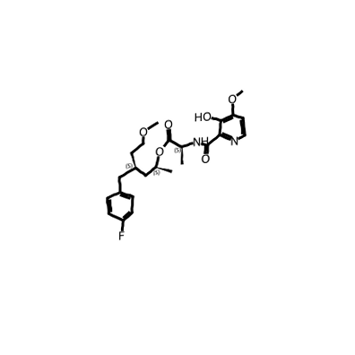 COCC[C@H](Cc1ccc(F)cc1)C[C@H](C)OC(=O)[C@H](C)NC(=O)c1nccc(OC)c1O